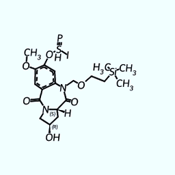 COc1cc2c(cc1O[SH](#P)I)N(COCC[Si](C)(C)C)C(=O)[C@@H]1C[C@@H](O)CN1C2=O